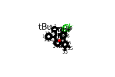 CCCC1C=C(C(C)(C)C)C=[C]1[Zr+2](=[C](c1ccccc1)c1ccccc1)[c]1c(C)c(C)cc2c1Cc1cc(C)c(C)cc1-2.[Cl-].[Cl-]